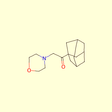 O=C(CN1CCOCC1)C12CC3CC(CC(C3)C1)C2